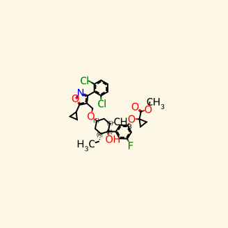 CC[C@@H]1C[C@@H](OCc2c(-c3c(Cl)cccc3Cl)noc2C2CC2)C[C@H](C)[C@]1(O)c1cc(F)cc(OC2(C(=O)OC)CC2)c1